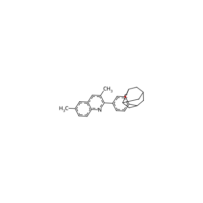 Cc1ccc2nc(-c3ccc4c(c3)C3CC5CC(CC4C5)C3)c(C)cc2c1